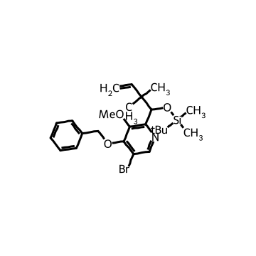 C=CC(C)(C)C(O[Si](C)(C)C(C)(C)C)c1ncc(Br)c(OCc2ccccc2)c1OC